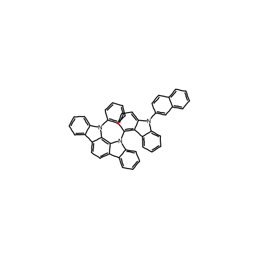 c1ccc(-n2c3ccccc3c3ccc4c5ccccc5n(-c5cccc6c5c5ccccc5n6-c5ccc6ccccc6c5)c4c32)cc1